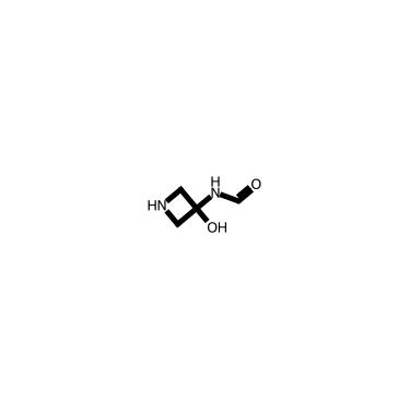 O=CNC1(O)CNC1